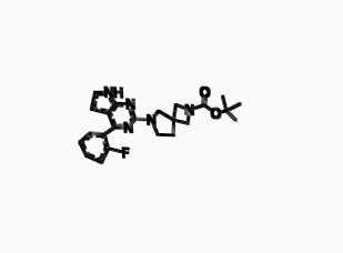 CC(C)(C)OC(=O)N1CC2(CCN(c3nc(-c4ccccc4F)c4cc[nH]c4n3)C2)C1